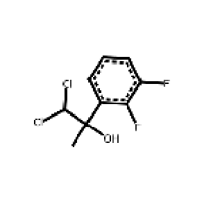 CC(O)(c1cccc(F)c1F)C(Cl)Cl